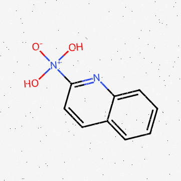 [O-][N+](O)(O)c1ccc2ccccc2n1